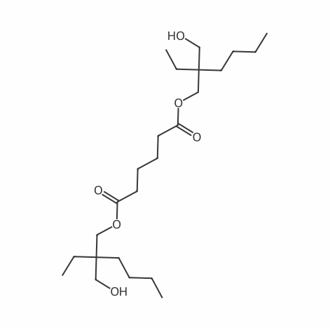 CCCCC(CC)(CO)COC(=O)CCCCC(=O)OCC(CC)(CO)CCCC